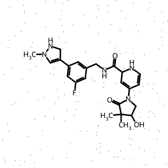 CN1C=C(c2cc(F)cc(CNC(=O)C3C=C(N4CC(O)C(C)(C)C4=O)C=CN3)c2)CN1